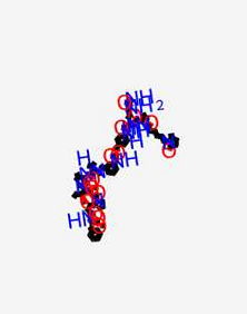 C=C1C=CC(=O)N1CCCCCC(=O)N[C@H](C(=O)N[C@@H](CCCNC(N)=O)C(=O)Nc1ccc(COC(=O)Nc2cccc(CN(C)[C@H](C(=O)N[C@H](C(=O)N(C)[C@@H]([C@@H](C)CC)[C@@H](CC(=O)N3CCC[C@H]3[C@H](OC)[C@@H](C)C(=O)N[C@@H](Cc3ccccc3)C(=O)OC)OC)C(C)C)C(C)C)c2)cc1)C(C)C